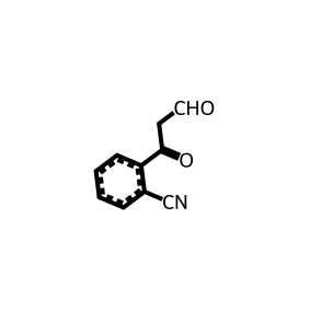 N#Cc1ccccc1C(=O)CC=O